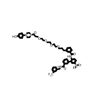 CCN(CC)c1ccc(NC(=O)c2cccc(CCCOCCOCCOCCOCCC(=O)N3CCN(c4ccc(O)cc4)CC3)c2)c(-c2cccc(C(=O)NCc3cccc(C(F)(F)F)c3)c2)c1